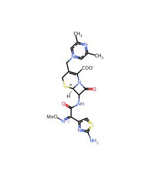 CO/N=C(\C(=O)NC1C(=O)N2C(C(=O)[O-])=C(C[n+]3cc(C)nc(C)c3)CS[C@H]12)c1csc(N)n1